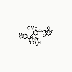 CCCN(Cc1ccc(OCCn2c(=O)ccn(C)c2=O)c(OC)c1)C(CC(=O)O)c1ccc2c(c1)CCO2